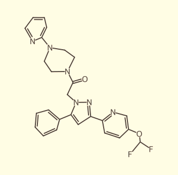 O=C(Cn1nc(-c2ccc(OC(F)F)cn2)cc1-c1ccccc1)N1CCN(c2ccccn2)CC1